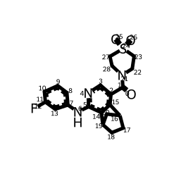 O=C(c1cnc(Nc2cccc(F)c2)c2c1C1CCC2C1)N1CCS(=O)(=O)CC1